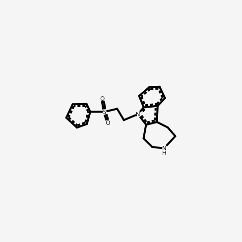 O=S(=O)(CCn1c2c(c3ccccc31)CCNCC2)c1ccccc1